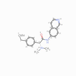 COCc1ccc([C@H](C(=O)Nc2ccc3cnccc3c2)N(C)C)cc1